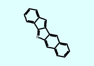 C1=C2C(=Nc3cc4ccccc4cc32)c2ccccc21